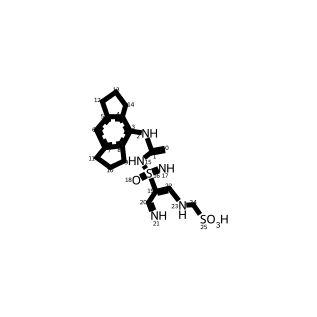 C=C(Nc1c2c(cc3c1CCC3)CCC2)NS(=N)(=O)/C(C=N)=C/NCS(=O)(=O)O